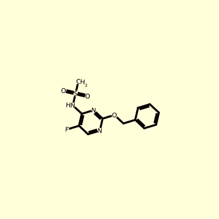 CS(=O)(=O)Nc1nc(OCc2ccccc2)ncc1F